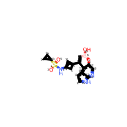 O=S(=O)(NC12CC(C3=CB(O)Oc4cnc5[nH]ccc5c43)(C1)C2)C1CC1